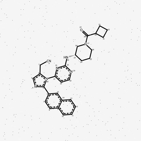 N#CCc1cnc(-c2ccc3ccccc3c2)n1-c1ccnc(N[C@H]2CCCN(C(=O)C3CCC3)C2)n1